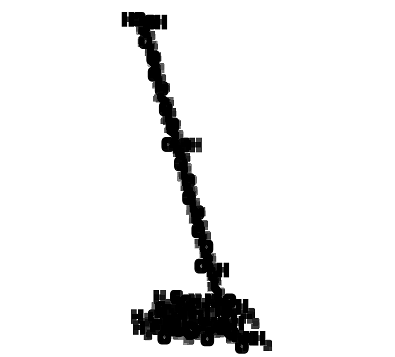 CC(C)[C@H](NC(=O)[C@@H](N)CCCCNC(=O)CCOCCOCCOCCOCCOCCOCCN(O)C(=O)CCOCCOCCOCCOCCOCCOCCN(O)O)C(=O)N[C@@H](CCCNC(N)=O)C(=O)Nc1ccc(COC(=O)N(C)[C@H](C(=O)N[C@H](C(=O)N(C)C)C(C)C)C(C)C)cc1